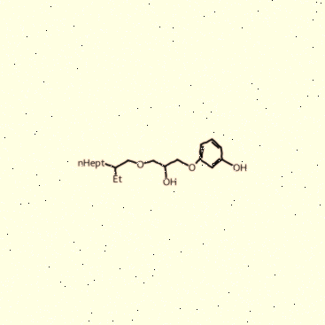 CCCCCCCC(CC)COCC(O)COc1cccc(O)c1